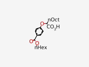 CCCCCCCCC(Oc1ccc(C(=O)OCCCCCC)cc1)C(=O)O